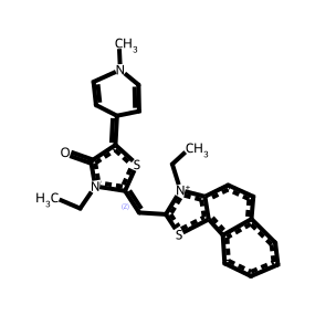 CCn1c(=O)c(=C2C=CN(C)C=C2)s/c1=C\c1sc2c3ccccc3ccc2[n+]1CC